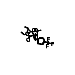 CCOC(=O)C(Cc1ccc(C(F)(F)F)cc1)(NC(C)=O)C(=O)OCC